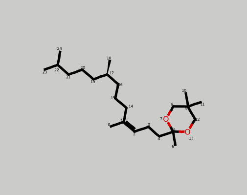 C/C(=C/CCC1(C)OCC(C)(C)CO1)CCC[C@H](C)CCCC(C)C